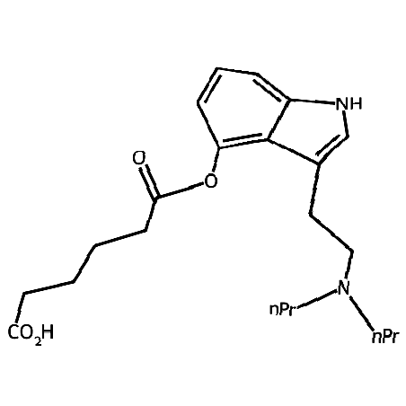 CCCN(CCC)CCc1c[nH]c2cccc(OC(=O)CCCCC(=O)O)c12